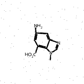 Cn1cnc2cc(N)cc(C(=O)O)c21